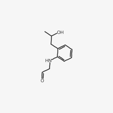 CC(O)Cc1ccccc1NCC=O